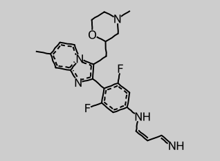 Cc1ccn2c(CC3CN(C)CCO3)c(-c3c(F)cc(N/C=C\C=N)cc3F)nc2c1